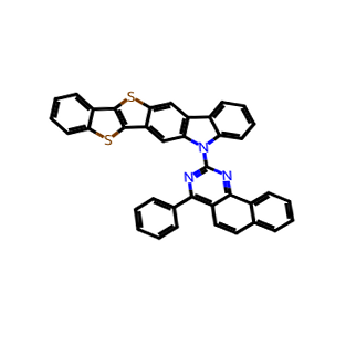 c1ccc(-c2nc(-n3c4ccccc4c4cc5sc6c7ccccc7sc6c5cc43)nc3c2ccc2ccccc23)cc1